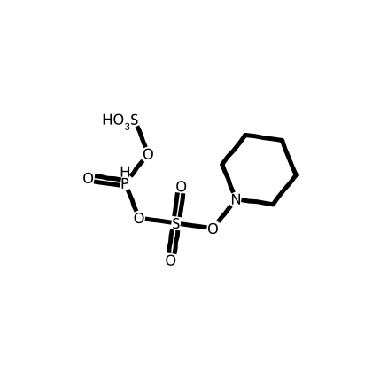 O=[PH](OS(=O)(=O)O)OS(=O)(=O)ON1CCCCC1